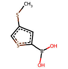 CSc1csc(B(O)O)c1